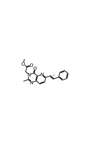 COC(=O)Cn1c(C)nc2ccc(/C=C/c3ccccc3)nc2c1=O